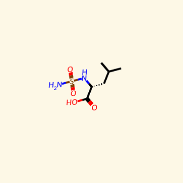 CC(C)C[C@@H](NS(N)(=O)=O)C(=O)O